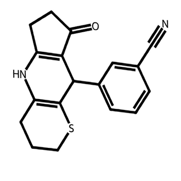 N#Cc1cccc(C2C3=C(CCCS3)NC3=C2C(=O)CC3)c1